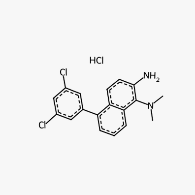 CN(C)c1c(N)ccc2c(-c3cc(Cl)cc(Cl)c3)cccc12.Cl